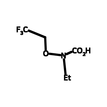 CCN(OCC(F)(F)F)C(=O)O